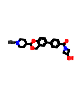 CC(C)(C)N1CCC(C2OCc3cc(-c4ccc(C(=O)N5CC(O)C5)cc4)ccc3O2)CC1